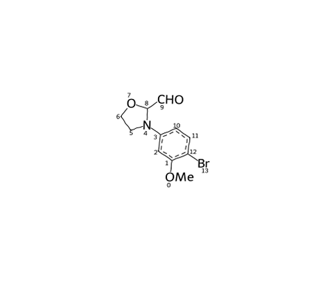 COc1cc(N2CCOC2C=O)ccc1Br